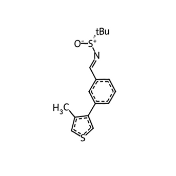 Cc1cscc1-c1cccc(/C=N/[S@+]([O-])C(C)(C)C)c1